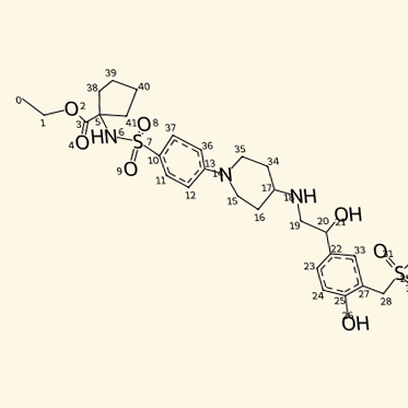 CCOC(=O)C1(NS(=O)(=O)c2ccc(N3CCC(NCC(O)c4ccc(O)c(CS(C)(=O)=O)c4)CC3)cc2)CCCC1